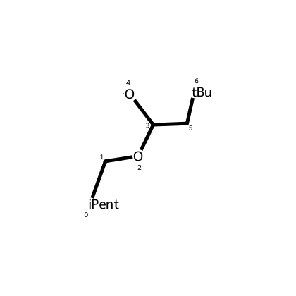 CCCC(C)COC([O])CC(C)(C)C